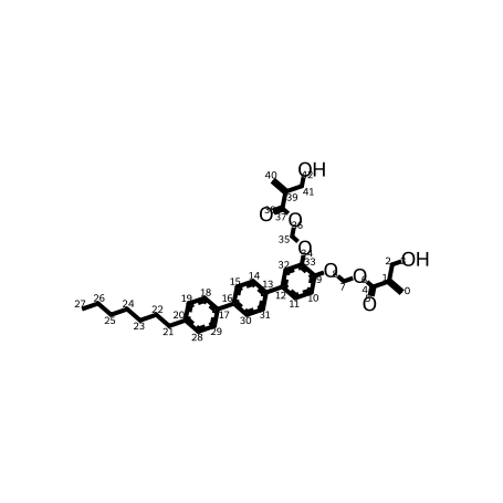 C=C(CO)C(=O)OCOc1ccc(-c2ccc(-c3ccc(CCCCCCC)cc3)cc2)cc1OCOC(=O)C(=C)CO